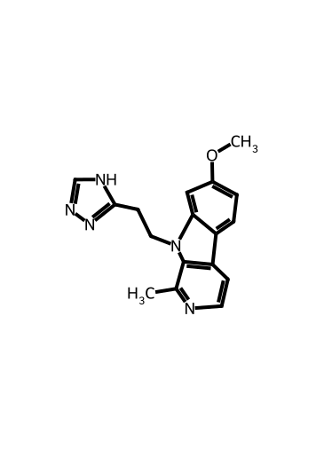 COc1ccc2c3ccnc(C)c3n(CCc3nnc[nH]3)c2c1